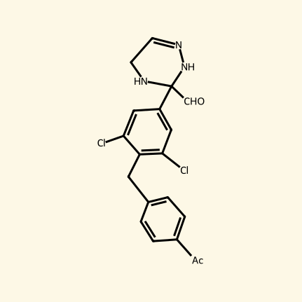 CC(=O)c1ccc(Cc2c(Cl)cc(C3(C=O)NCC=NN3)cc2Cl)cc1